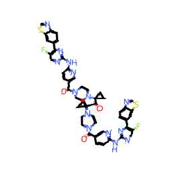 O=C(c1ccc(Nc2ncc(F)c(-c3ccc4ncsc4c3)n2)nc1)N1CCN(C2(C(=O)C3(N4CCN(C(=O)c5ccc(Nc6ncc(F)c(-c7ccc8ncsc8c7)n6)nc5)CC4)CC3)CC2)CC1